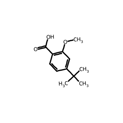 COc1cc(C(C)(C)C)ccc1C(=O)O